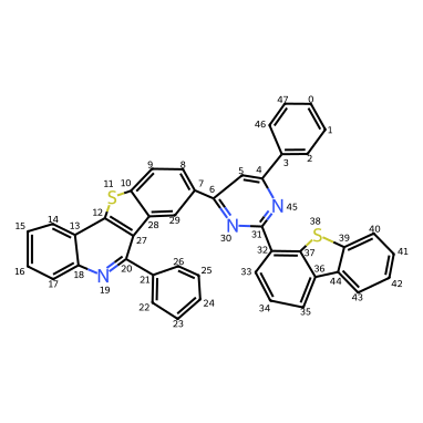 c1ccc(-c2cc(-c3ccc4sc5c6ccccc6nc(-c6ccccc6)c5c4c3)nc(-c3cccc4c3sc3ccccc34)n2)cc1